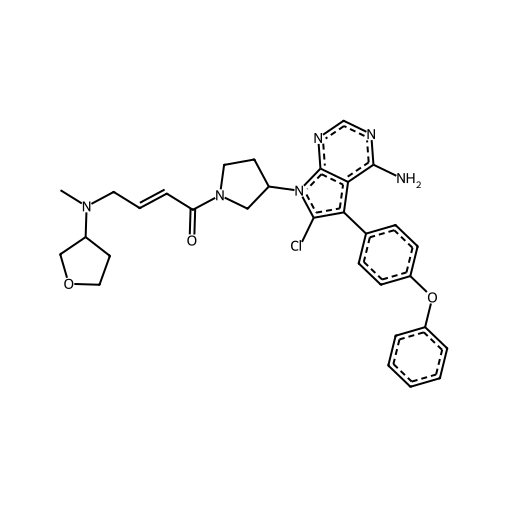 CN(CC=CC(=O)N1CCC(n2c(Cl)c(-c3ccc(Oc4ccccc4)cc3)c3c(N)ncnc32)C1)C1CCOC1